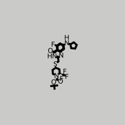 CC(C)(C)OC(=O)N1CC[C@@H](SCc2nc3cc(NC4CCCC4)cc(F)c3c(=O)[nH]2)C[C@H]1C(F)(F)F